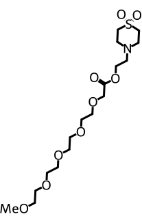 COCCOCCOCCOCCOCC(=O)OCCN1CCS(=O)(=O)CC1